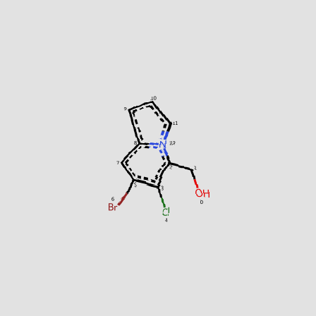 OCc1c(Cl)c(Br)cc2cccn12